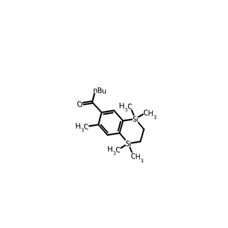 CCCCC(=O)c1cc2c(cc1C)[Si](C)(C)CC[Si]2(C)C